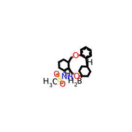 B[C@]12CC[C@H](CC1)c1ccccc1OCC1CCC[C@H](NS(C)(=O)=O)[C@@H]1CO2